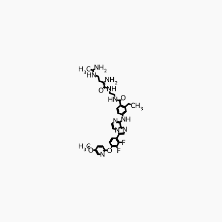 CCc1cc(Nc2nccn3c(-c4ccc(Oc5ccc(OC)cn5)c(F)c4F)cnc23)ccc1C(=O)NCCNC(=O)[C@@H](N)CCNC(C)N